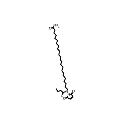 CCCC(=O)N(CCCCCCCCCCCCCCCCCCCCCCCC(N)=O)N1C(=O)C=CC1=O